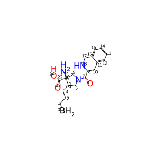 BCCC[C@H]1CN(C(=O)C2Cc3ccccc3CN2)C[C@@]1(N)C(=O)O